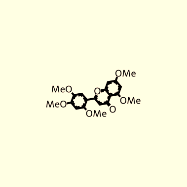 COc1cc(OC)c2c(=O)cc(-c3cc(OC)c(OC)cc3OC)oc2c1